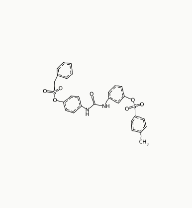 Cc1ccc(S(=O)(=O)Oc2cccc(NC(=O)Nc3ccc(OS(=O)(=O)Cc4ccccc4)cc3)c2)cc1